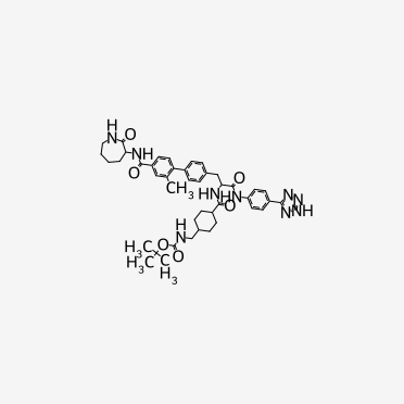 Cc1cc(C(=O)NC2CCCCNC2=O)ccc1-c1ccc(CC(NC(=O)C2CCC(CNC(=O)OC(C)(C)C)CC2)C(=O)Nc2ccc(-c3nn[nH]n3)cc2)cc1